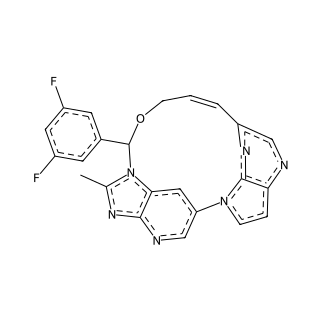 Cc1nc2ncc3cc2n1C(c1cc(F)cc(F)c1)OC/C=C\c1cnc2ccn-3c2n1